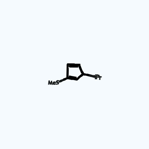 CSC1=CC(C(C)C)C=C1